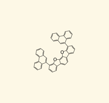 c1ccc2c(c1)cc(-c1cccc3c1oc1c3ccc3c4cccc(-c5cc6ccccc6c6ccccc56)c4oc31)c1ccccc12